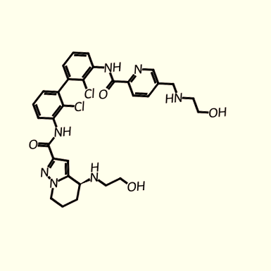 O=C(Nc1cccc(-c2cccc(NC(=O)c3cc4n(n3)CCC[C@@H]4NCCO)c2Cl)c1Cl)c1ccc(CNCCO)cn1